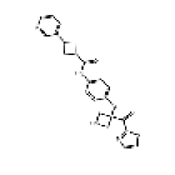 O=C(Nc1ccc(OC2(C(=O)c3nccs3)CNC2)cc1)N1CC(c2cccnc2)C1